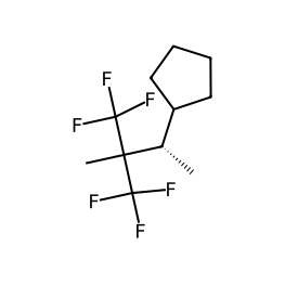 C[C@@H](C1CCCC1)C(C)(C(F)(F)F)C(F)(F)F